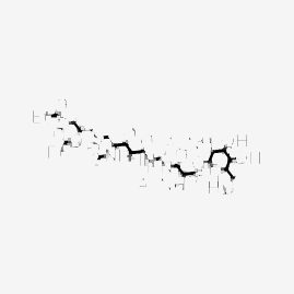 CCC(=O)N[C@@H](CSC[C@H](COC(=O)CC)OC(=O)CC)C(=O)CC(=O)NCNC(=O)[C@@H](NC(C)=O)C(C)O[C@H]1OC(CO)[C@H](O)[C@H](O)C1NC(C)=O